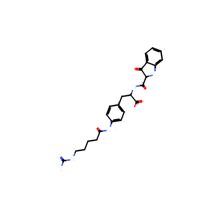 N=C(N)NCCCCC(=O)Nc1ccc(CC(NC(=O)C2Nc3ccccc3C2=O)C(=O)O)cc1